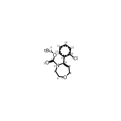 CC(C)(C)OC(=O)N1CCOCC=C1c1ccccc1Cl